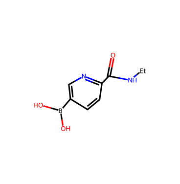 CCNC(=O)c1ccc(B(O)O)cn1